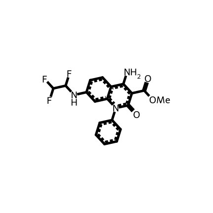 COC(=O)c1c(N)c2ccc(NC(F)C(F)F)cc2n(-c2ccccc2)c1=O